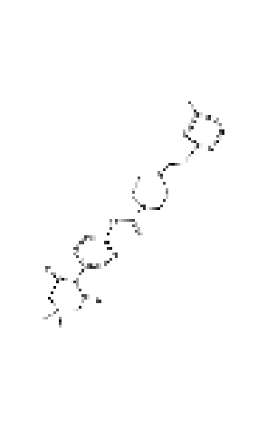 Cc1cccc(CCN2CCN(C(=O)Oc3ccc(N4C(=O)CC(C)(C)CC4=O)cn3)CC2)n1